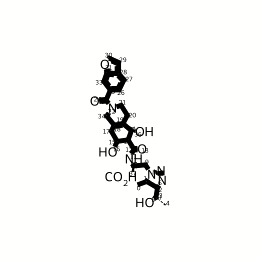 CC1C([C@H](C)O)N=NN1C[C@H](NC(=O)C1C(O)CC2=C(CCN(C(=O)c3ccc4ccoc4c3)C2)[C@H]1O)C(=O)O